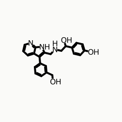 OCc1cccc(-c2c(CNCC(O)c3ccc(O)cc3)[nH]c3ncccc23)c1